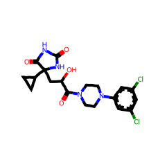 O=C1NC(=O)C(CC(O)C(=O)N2CCN(c3cc(Cl)cc(Cl)c3)CC2)(C2CC2)N1